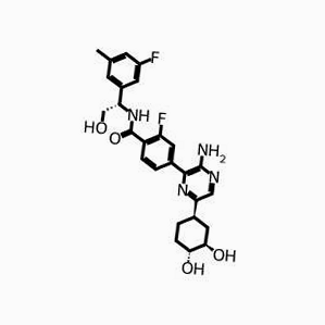 Cc1cc(F)cc([C@@H](CO)NC(=O)c2ccc(-c3nc([C@@H]4CC[C@@H](O)[C@H](O)C4)cnc3N)cc2F)c1